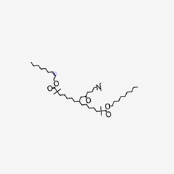 CCCCCC/C=C\COC(=O)C(C)(C)CCCCCC(CCCCCC(C)(C)C(=O)OCCCCCCCCC)CC(=O)CCCN(C)C